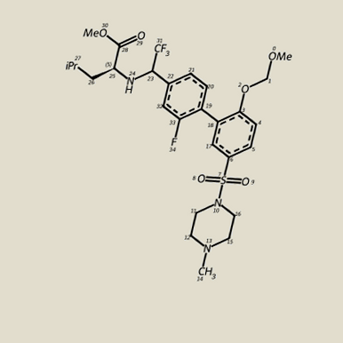 COCOc1ccc(S(=O)(=O)N2CCN(C)CC2)cc1-c1ccc(C(N[C@@H](CC(C)C)C(=O)OC)C(F)(F)F)cc1F